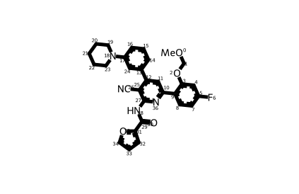 COCOc1cc(F)ccc1-c1cc(-c2cccc(N3CCCCC3)c2)c(C#N)c(NC(=O)c2ccco2)n1